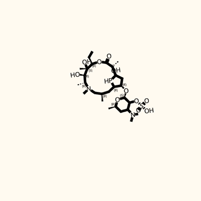 CC[C@H]1OC(=O)[C@H](C)C2(O)C[C@@H](O[C@@H]3O[C@H](C)CC(N(C)C)C3OS(=O)(=O)O)[C@@](C)(C[C@@H](C)CN(C)[C@H](C)[C@@H](O)[C@]1(C)O)P2